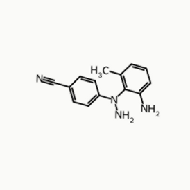 Cc1cccc(N)c1N(N)c1ccc(C#N)cc1